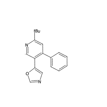 CC(C)(C)c1cc(-c2ccccc2)c(-c2cnco2)[c]n1